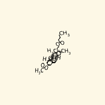 CCCCC(=O)OCC[C@H]1[C@H](C)C[C@H]2[C@@H]3CC=C4C=C(OC(C)=O)C=C[C@]4(C)[C@@]34O[C@H]4C[C@]12C